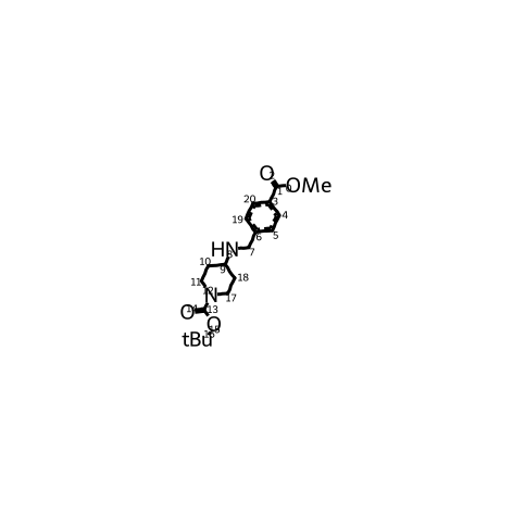 COC(=O)c1ccc(CNC2CCN(C(=O)OC(C)(C)C)CC2)cc1